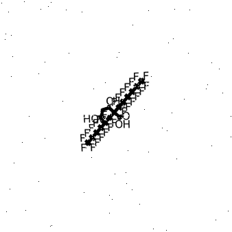 CC(CC(=O)O)C(C(=O)O)(C(F)(F)C(F)(F)C(F)(F)C(F)(F)C(F)(F)C(F)(F)F)C(F)(F)C(F)(F)C(F)(F)C(F)(F)C(F)(F)C(F)(F)F